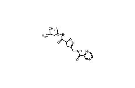 [B][C@H](CC(C)C)NC(=O)C1CC(CNC(=O)c2cnccn2)=NO1